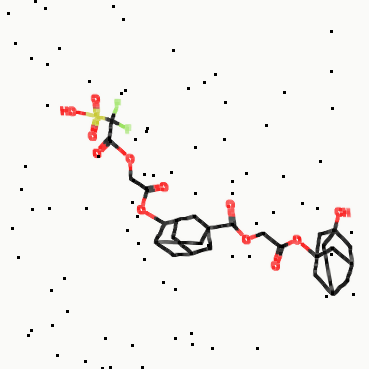 O=C(COC(=O)C(F)(F)S(=O)(=O)O)OC1C2CC3CC1CC(C(=O)OCC(=O)OC14CC5CC(CC(O)(C5)C1)C4)(C3)C2